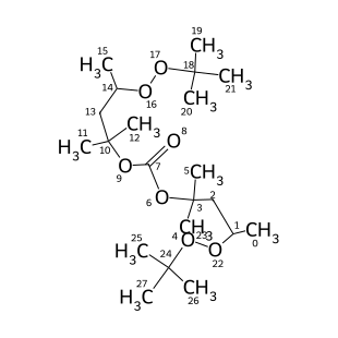 CC(CC(C)(C)OC(=O)OC(C)(C)CC(C)OOC(C)(C)C)OOC(C)(C)C